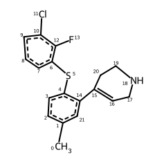 Cc1ccc(Sc2cccc(Cl)c2F)c(C2=CCNCC2)c1